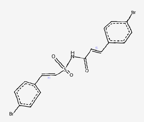 O=C(/C=C/c1ccc(Br)cc1)NS(=O)(=O)/C=C/c1ccc(Br)cc1